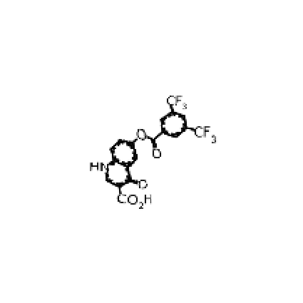 O=C(Oc1ccc2[nH]cc(C(=O)O)c(=O)c2c1)c1cc(C(F)(F)F)cc(C(F)(F)F)c1